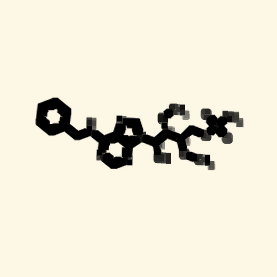 CO[C@@H]([C@@H](O)n1cnc2c(NCc3ccccc3)ncnc21)[C@@H](COS(N)(=O)=O)OC